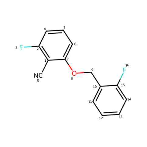 N#Cc1c(F)cccc1OCc1ccccc1F